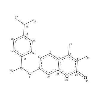 Cc1c(C)c2ccc(OC(C)c3ccc(C(C)C)cc3)cc2oc1=O